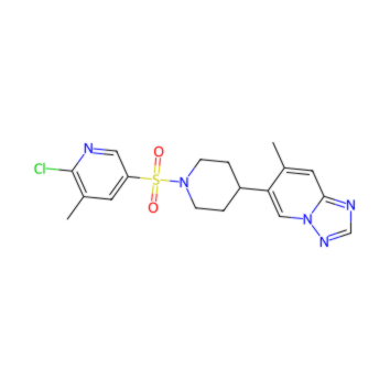 Cc1cc2ncnn2cc1C1CCN(S(=O)(=O)c2cnc(Cl)c(C)c2)CC1